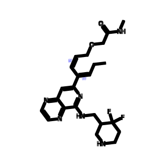 CC/C=C(\C=C/COCC(=O)NC)c1cc2nccnc2c(NCC2CNCCC2(F)F)n1